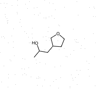 CC(O)CC1CCOC1